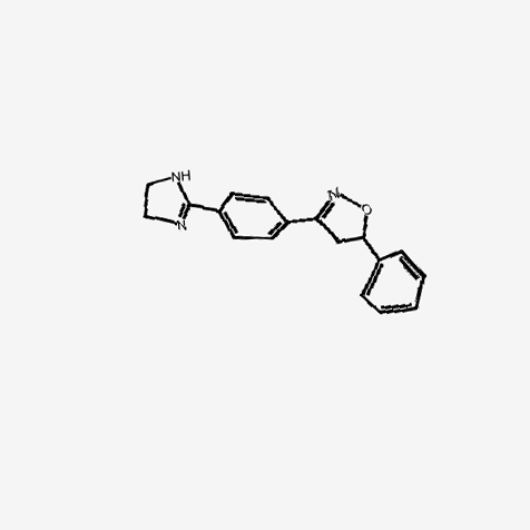 c1ccc(C2CC(c3ccc(C4=NCCN4)cc3)=NO2)cc1